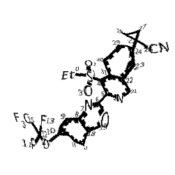 CCS(=O)(=O)c1c(-c2nc3cc(OC(F)(F)C(F)(F)F)ccc3o2)ncc2cc(C3(C#N)CC3)ccc12